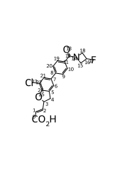 O=C(O)/C=C/C1Cc2cc(-c3ccc(C(=O)N4CC(F)C4)cc3)cc(Cl)c2O1